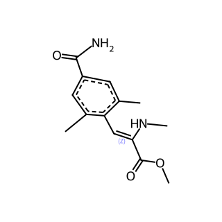 CN/C(=C\c1c(C)cc(C(N)=O)cc1C)C(=O)OC